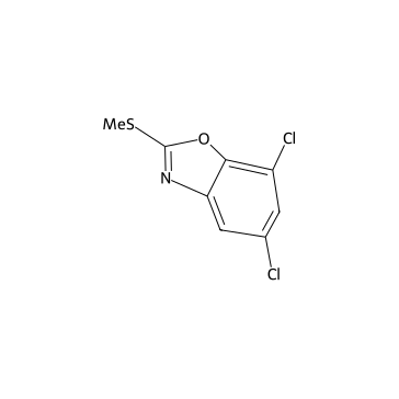 CSc1nc2cc(Cl)cc(Cl)c2o1